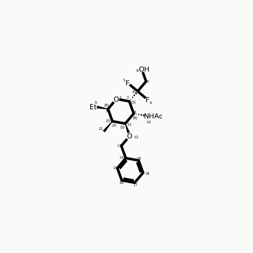 CC[C@H]1O[C@H](C(F)(F)CO)[C@H](NC(C)=O)[C@@H](OCc2ccccc2)[C@H]1C